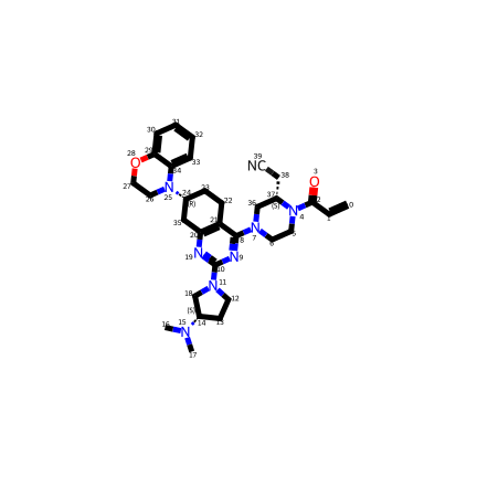 C=CC(=O)N1CCN(c2nc(N3CC[C@H](N(C)C)C3)nc3c2CC[C@@H](N2CCOc4ccccc42)C3)C[C@@H]1CC#N